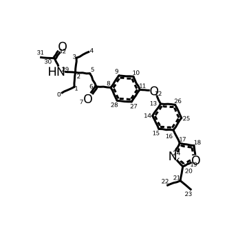 CCC(CC)(CC(=O)c1ccc(Oc2ccc(-c3coc(C(C)C)n3)cc2)cc1)NC(C)=O